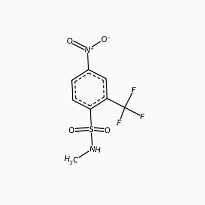 CNS(=O)(=O)c1ccc([N+](=O)[O-])cc1C(F)(F)F